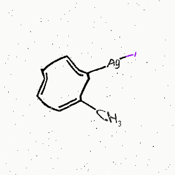 Cc1cccc[c]1[Ag][I]